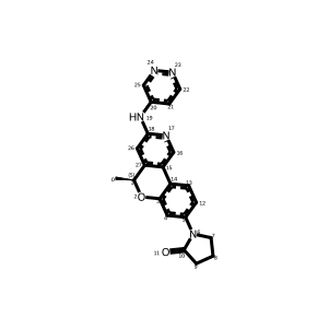 C[C@@H]1Oc2cc(N3CCCC3=O)ccc2-c2cnc(Nc3ccnnc3)cc21